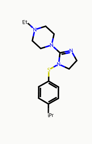 CCN1CCN(C2=NCCN2Sc2ccc(C(C)C)cc2)CC1